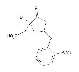 CCC12C(=O)CC(Sc3ccccc3OC)C1C2C(=O)O